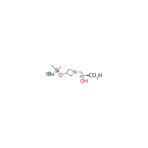 CC(C)(C)[Si](C)(C)OC1CN(C[C@H](O)C(=O)O)C1